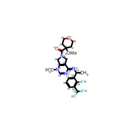 COC1(C(=O)N2Cc3c(n(C)cnc3=NC(C)c3cccc(C(F)F)c3F)C2)CCOCC1